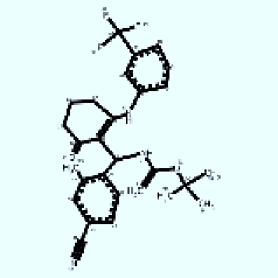 C=C(NC(C1=C(Nc2cccc(C(F)(F)F)c2)CCCC1=O)c1ccc(C#N)cc1C)OC(C)(C)C